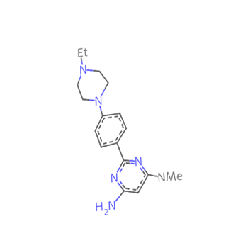 CCN1CCN(c2ccc(-c3nc(N)cc(NC)n3)cc2)CC1